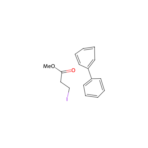 COC(=O)CCI.c1ccc(-c2ccccc2)cc1